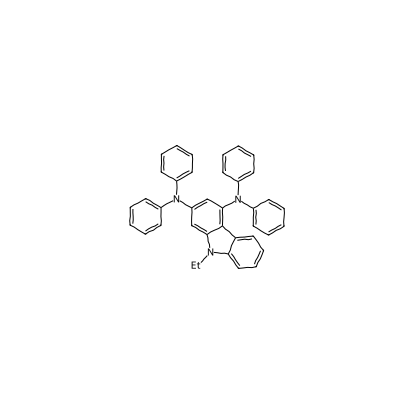 CCn1c2ccccc2c2c(N(c3ccccc3)c3ccccc3)cc(N(c3ccccc3)c3ccccc3)cc21